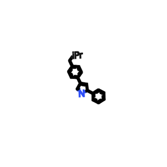 CC(C)Cc1ccc(C2=CC(c3ccccc3)N=C2)cc1